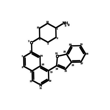 NC1CCC(Oc2ccc3cncc(-c4cc5ccccc5o4)c3c2)CC1